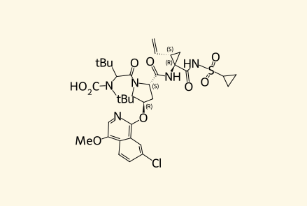 C=C[C@@H]1C[C@]1(NC(=O)[C@@H]1C[C@@H](Oc2ncc(OC)c3ccc(Cl)cc23)CN1C(=O)C(N(C(=O)O)C(C)(C)C)C(C)(C)C)C(=O)NS(=O)(=O)C1CC1